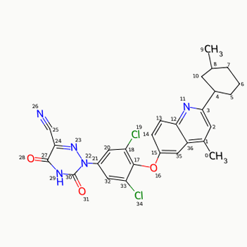 Cc1cc(C2CCCC(C)C2)nc2ccc(Oc3c(Cl)cc(-n4nc(C#N)c(=O)[nH]c4=O)cc3Cl)cc12